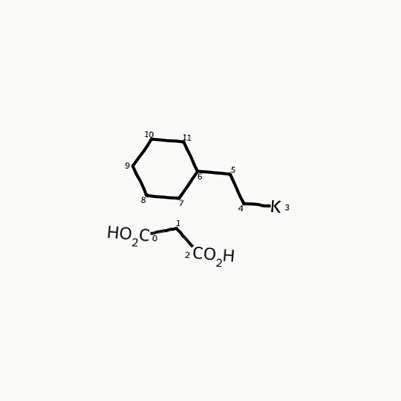 O=C(O)CC(=O)O.[K][CH2]CC1CCCCC1